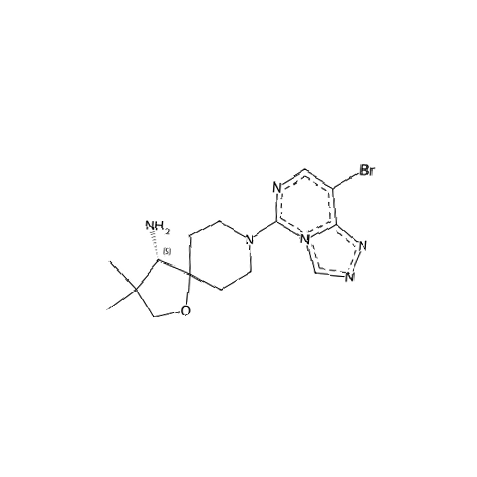 CC1(C)COC2(CCN(c3ncc(Br)c4nncn34)CC2)[C@H]1N